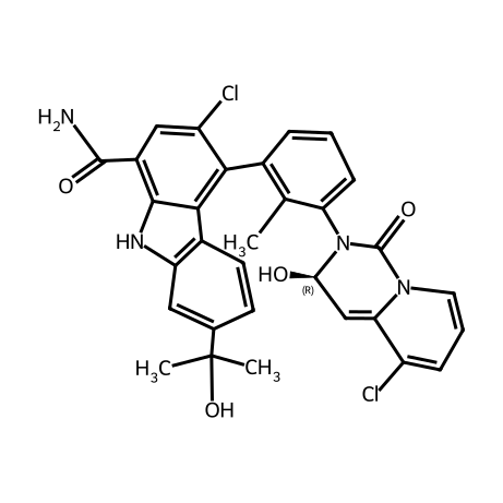 Cc1c(-c2c(Cl)cc(C(N)=O)c3[nH]c4cc(C(C)(C)O)ccc4c23)cccc1N1C(=O)N2C=CC=C(Cl)C2=C[C@H]1O